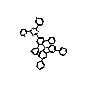 c1ccc(-c2ccc3c(c2)c2cc(-c4ccccc4)ccc2n3-c2c(-c3ccccc3)cc(-c3nc(-c4cccnc4)nc(-c4ccccn4)n3)cc2-c2ccccc2)cc1